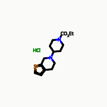 CCOC(=O)N1CCC(N2CCc3ccsc3C2)CC1.Cl